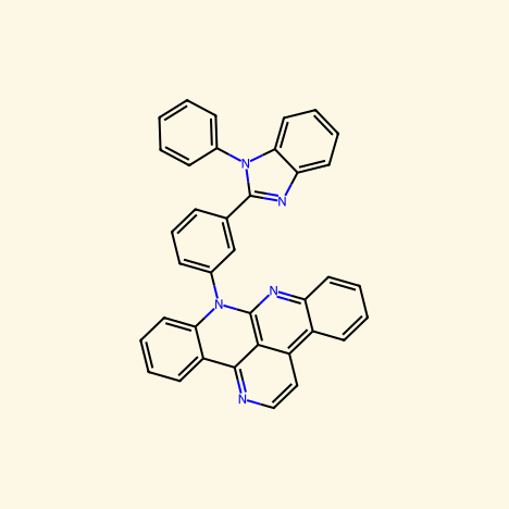 c1ccc(-n2c(-c3cccc(N4c5ccccc5-c5nccc6c5c4nc4ccccc46)c3)nc3ccccc32)cc1